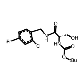 CC(C)c1ccc(CNC(=O)[C@H](CO)NC(=O)OC(C)(C)C)c(Cl)c1